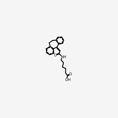 O=C(O)CCCCCNC(=O)C=C1c2ccccc2CCc2ccccc21